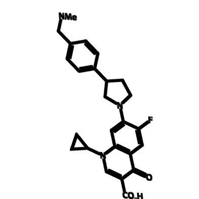 CNCc1ccc(C2CCN(c3cc4c(cc3F)c(=O)c(C(=O)O)cn4C3CC3)C2)cc1